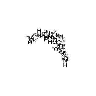 COc1nc(-c2ccnc(-c3cccc(Nc4nccc(CNC5CCN(C(C)=O)CC5)c4F)c3Cl)c2Cl)ccc1CN1CC[C@@]2(CCNC2)C1